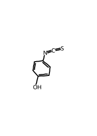 Oc1ccc(N=C=S)cc1